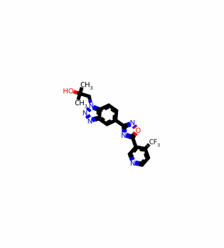 CC(C)(O)Cn1nnc2cc(-c3noc(-c4cnccc4C(F)(F)F)n3)ccc21